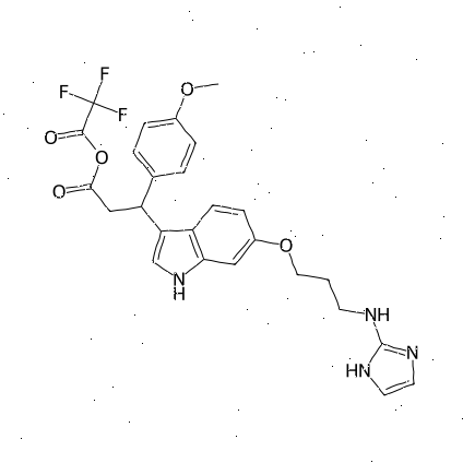 COc1ccc(C(CC(=O)OC(=O)C(F)(F)F)c2c[nH]c3cc(OCCCNc4ncc[nH]4)ccc23)cc1